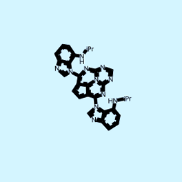 CC(C)Nc1cccc2ncn(-c3nc4ncnc5nc(-n6cnc7cccc(NC(C)C)c76)c6ccc3c6n45)c12